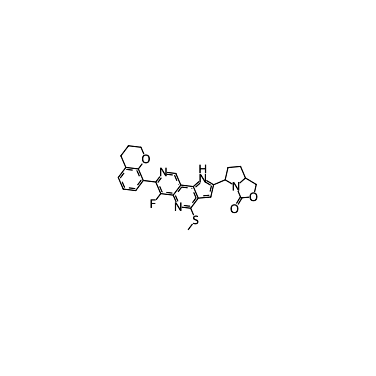 CSc1nc2c(F)c(-c3cccc4c3OCCC4)ncc2c2[nH]c(C3CCC4COC(=O)N43)cc12